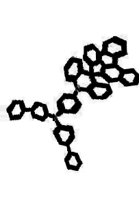 c1ccc(-c2ccc(N(c3ccc(-c4ccccc4)cc3)c3ccc(N4c5ccccc5C(c5ccccc5)(c5cc6ccccc6c6c5oc5ccccc56)c5ccccc54)cc3)cc2)cc1